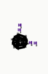 I.I.I.I.[CH]12[CH]3[CH]4[CH]5[CH]1[Fe]23451678[CH]2[CH]1[CH]6[CH]7[CH]28